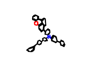 c1ccc(-c2ccc(-c3ccc(N(c4ccc(-c5ccccc5)cc4)c4cccc(-c5ccc6c7c(cccc57)-c5ccccc5O6)c4)cc3)cc2)cc1